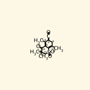 CC1=C2C(=C(C)C(=C=O)C1)C(=O)C(C)(C)CS2(=O)=O